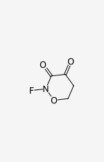 O=C1CCON(F)C1=O